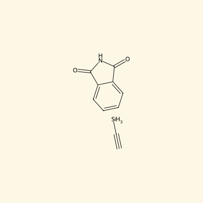 C#C[SiH3].O=C1NC(=O)c2ccccc21